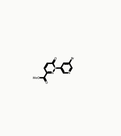 COC(=O)c1ccc(=O)n(-c2cncc(Br)c2)n1